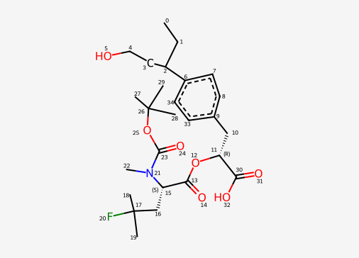 CCC(CCO)c1ccc(C[C@@H](OC(=O)[C@H](CC(C)(C)F)N(C)C(=O)OC(C)(C)C)C(=O)O)cc1